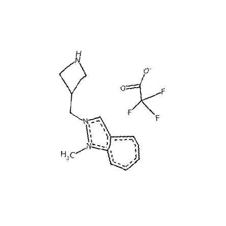 C[n+]1c2ccccc2cn1CC1CNC1.O=C([O-])C(F)(F)F